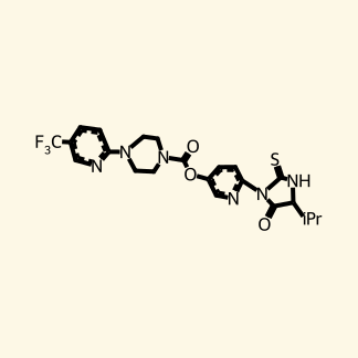 CC(C)C1NC(=S)N(c2ccc(OC(=O)N3CCN(c4ccc(C(F)(F)F)cn4)CC3)cn2)C1=O